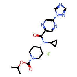 CC(C)OC(=O)N1CC[C@H](N(C(=O)c2cnc(-n3cncn3)cn2)C2CC2)[C@H](F)C1